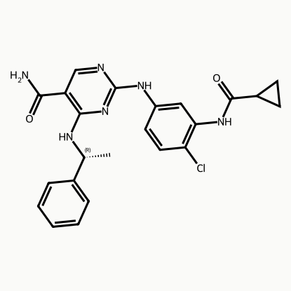 C[C@@H](Nc1nc(Nc2ccc(Cl)c(NC(=O)C3CC3)c2)ncc1C(N)=O)c1ccccc1